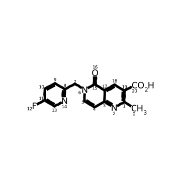 Cc1nc2ccn(Cc3ccc(F)cn3)c(=O)c2cc1C(=O)O